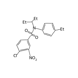 CCc1ccc(N(C(CC)CC)S(=O)(=O)c2ccc(Cl)c([N+](=O)[O-])c2)cc1